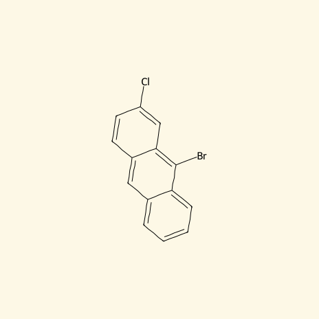 Clc1ccc2cc3ccccc3c(Br)c2c1